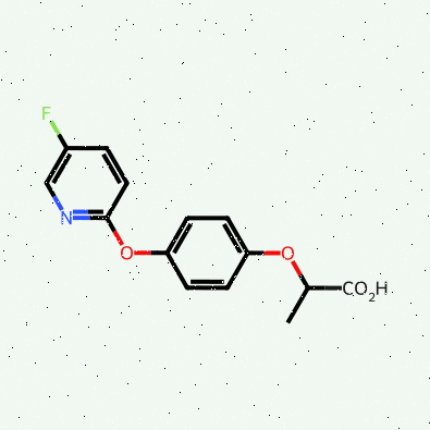 CC(Oc1ccc(Oc2ccc(F)cn2)cc1)C(=O)O